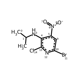 CC(C)Nc1c([N+](=O)[O-])cc(Br)nc1Cl